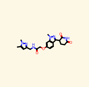 Cc1cc(CNC(=O)COc2ccc3c(C4CCC(=O)NC4=O)nn(C)c3c2)nn1C